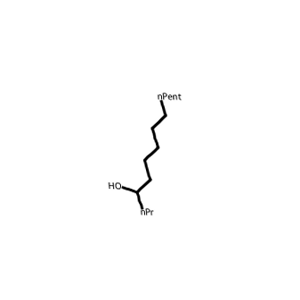 CCCCCCCCCCC(O)CCC